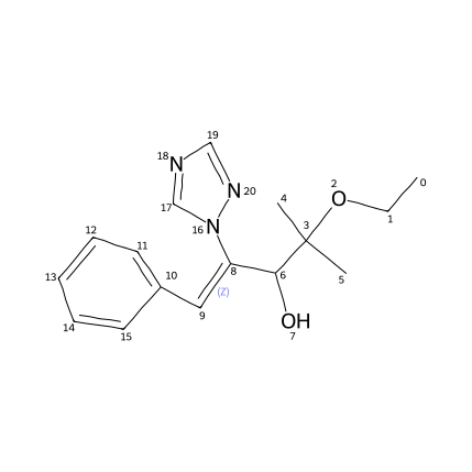 CCOC(C)(C)C(O)/C(=C/c1ccccc1)n1cncn1